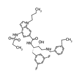 CCCCn1ccc2c(NS(=O)(=O)CC)cc(C(=O)N[C@@H](Cc3cc(F)cc(F)c3)[C@H](O)CNCc3cccc(CC)c3)cc21